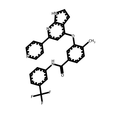 Cc1ccc(C(=O)Nc2cccc(C(F)(F)F)c2)cc1Oc1cc(-c2ccncc2)nc2[nH]ccc12